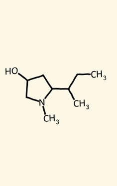 CCC(C)C1CC(O)CN1C